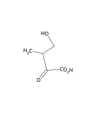 CC(CO)C(=O)C(=O)O